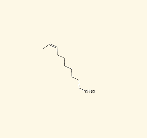 C/[C]=C\CCCCCCCCCCCCC